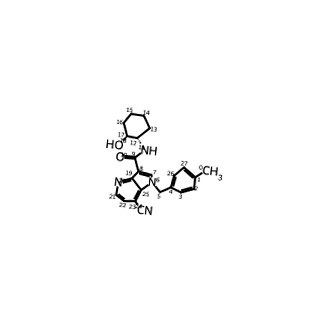 Cc1ccc(Cn2cc(C(=O)N[C@H]3CCCC[C@@H]3O)c3nccc(C#N)c32)cc1